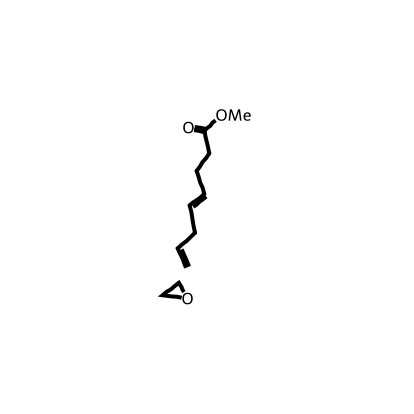 C1CO1.C=CC/C=C/CCC(=O)OC